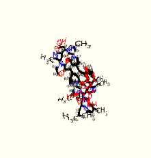 CCc1ncc([C@H](CC(=O)O)NC(=O)C(CC(C)C)n2ccc(C)cc2=O)cc1-c1cccc(Cc2ccn([C@@H](CC(C)C)C(=O)N[C@@H](CC(=O)O)c3cnc(C)c(N4CCOC(Cc5ccn([C@@H](CC(C)C)C(=O)N[C@@H](CC(=O)O)c6ccnc(-c7c(C)cccc7C)c6)c(=O)c5)[C@@H]4C)c3)c(=O)c2)c1C